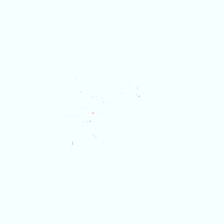 c1ccc(-n2c3ccccc3c3cc(N(c4ccc5c(c4)c4ccccc4n5-c4ccccc4)c4ccc5ccccc5c4-c4cccc5ccccc45)ccc32)cc1